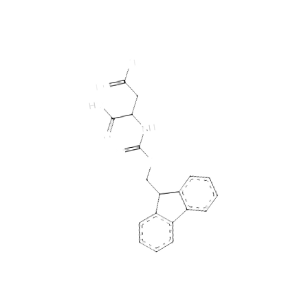 C=C(C)CC(NC(=O)OCC1c2ccccc2-c2ccccc21)C(=O)O